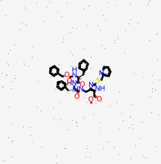 COC(=O)c1[nH]c(SCc2ccccn2)nc1CNC(=O)[C@H](Cc1ccccc1)NC(=O)[C@H](Cc1ccccc1)NC(=O)OCc1ccccc1